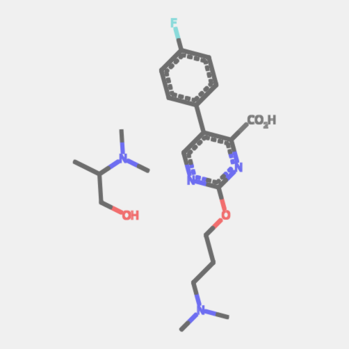 CC(CO)N(C)C.CN(C)CCCOc1ncc(-c2ccc(F)cc2)c(C(=O)O)n1